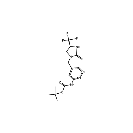 CC(C)(C)OC(=O)Nc1cc(CN2C[C@@H](C(F)(F)F)NC2=O)cnn1